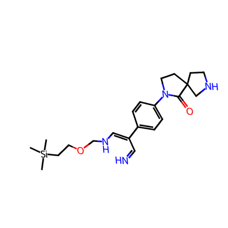 C[Si](C)(C)CCOCN/C=C(\C=N)c1ccc(N2CCC3(CCNC3)C2=O)cc1